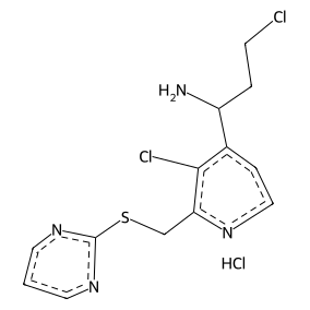 Cl.NC(CCCl)c1ccnc(CSc2ncccn2)c1Cl